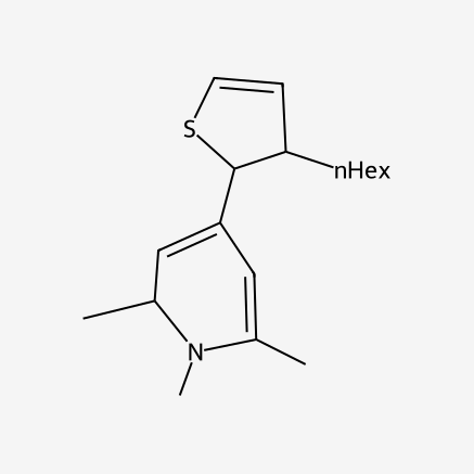 CCCCCCC1C=CSC1C1=CC(C)N(C)C(C)=C1